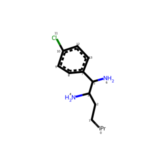 CC(C)CCC(N)C(N)c1ccc(Cl)cc1